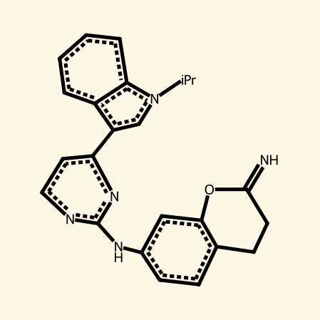 CC(C)n1cc(-c2ccnc(Nc3ccc4c(c3)OC(=N)CC4)n2)c2ccccc21